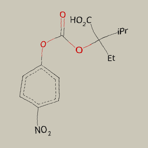 CCC(OC(=O)Oc1ccc([N+](=O)[O-])cc1)(C(=O)O)C(C)C